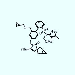 CCCCC1=NC2(CC3CC3C2)C(=O)N1Cc1ccc(-c2ccccc2S(=O)(=O)N(COC)c2noc(C)c2C)c(COCC2CC2)c1